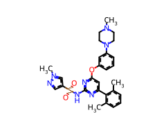 Cc1cccc(C)c1-c1cc(Oc2cccc(N3CCN(C)CC3)c2)nc(NS(=O)(=O)c2cnn(C)c2)n1